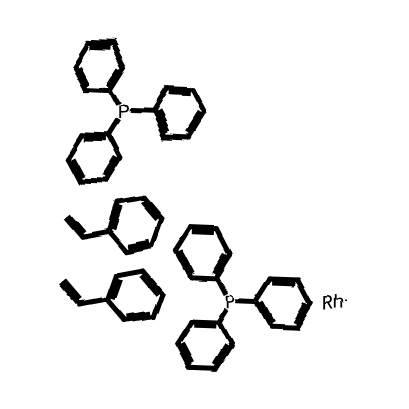 C=Cc1ccccc1.C=Cc1ccccc1.[Rh].c1ccc(P(c2ccccc2)c2ccccc2)cc1.c1ccc(P(c2ccccc2)c2ccccc2)cc1